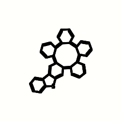 c1ccc2c(c1)sc1cc3c4ccccc4c4ccccc4c4ccccc4c4ccccc4c3cc12